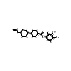 C=CCC1CCC(C2CCC(C(=O)Oc3ccc(F)c(F)c3F)CC2)CC1